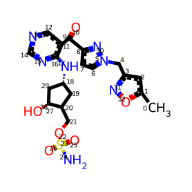 Cc1cc(Cn2ccc(C(=O)c3cncnc3N[C@@H]3CC(COS(N)(=O)=O)[C@@H](O)C3)n2)no1